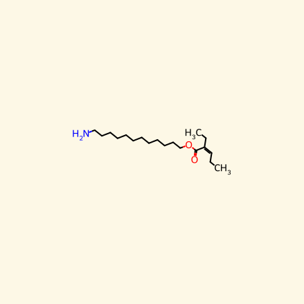 CCC=C(CC)C(=O)OCCCCCCCCCCCCN